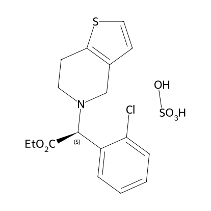 CCOC(=O)[C@H](c1ccccc1Cl)N1CCc2sccc2C1.O=S(=O)(O)O